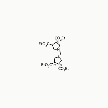 CCOC(=O)C1CN(CN2C[C@H](C(=O)OCC)[C@@H](C(=O)OCC)C2)C[C@@H]1C(=O)OCC